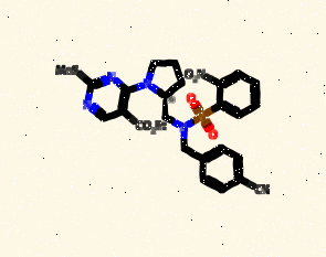 CCOC(=O)c1cnc(SC)nc1N1CCC[C@H]1CN(Cc1ccc(C#N)cc1)S(=O)(=O)c1ccccc1[N+](=O)[O-]